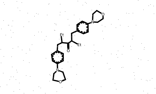 CCC(Cc1ccc(N2CCOCC2)cc1)C(=O)C(CC)Cc1ccc(N2CCOCC2)cc1